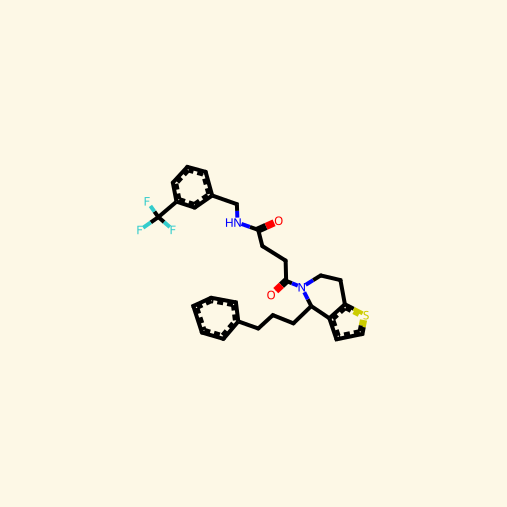 O=C(CCC(=O)N1CCc2sccc2C1CCCc1ccccc1)NCc1cccc(C(F)(F)F)c1